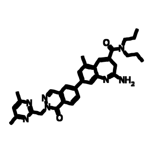 CCCN(CCC)C(=O)C1=Cc2c(C)cc(-c3ccc4c(=O)n(Cc5nc(C)cc(C)n5)ncc4c3)cc2N=C(N)C1